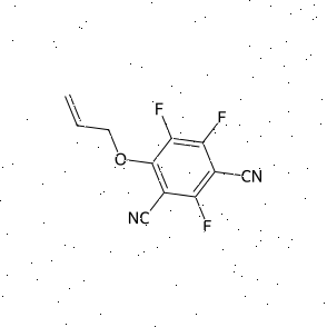 C=CCOc1c(F)c(F)c(C#N)c(F)c1C#N